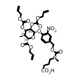 C=CCOC(=O)O[C@H]1[C@H](Oc2ccc(COC(=O)N(C)CCCC(=O)O)cc2[N+](=O)[O-])O[C@H](C(=O)OCC=C)[C@@H](C)[C@@H]1OC(=O)OCC=C